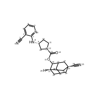 N#Cc1cccnc1N[C@@H]1CCN(C(=O)OC2C3CC4C[C@H]2C[C@@](C#N)(C4)C3)C1